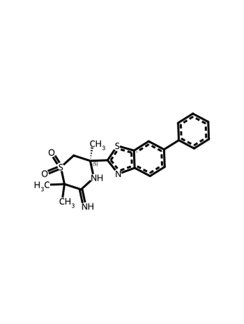 CC1(C)C(=N)N[C@](C)(c2nc3ccc(-c4ccccc4)cc3s2)CS1(=O)=O